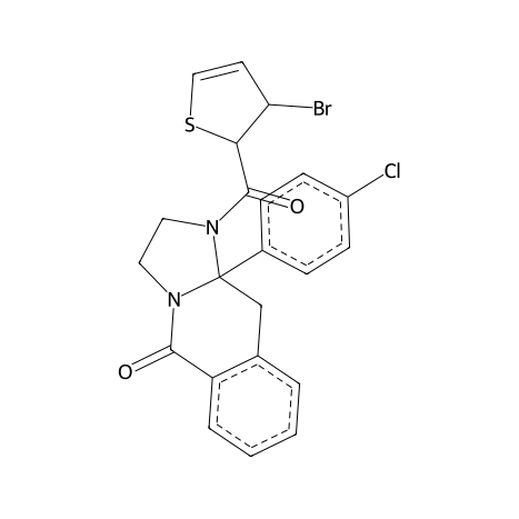 O=C1c2ccccc2CC2(c3ccc(Cl)cc3)N1CCN2C(=O)C1SC=CC1Br